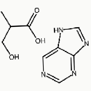 CC(CO)C(=O)O.c1ncc2[nH]cnc2n1